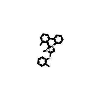 Cc1ccccc1Oc1cn2c3ccccc3c3cccc(C)c3c2[n+]1C